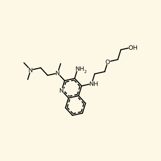 CN(C)CCN(C)c1nc2ccccc2c(NCCOCCO)c1N